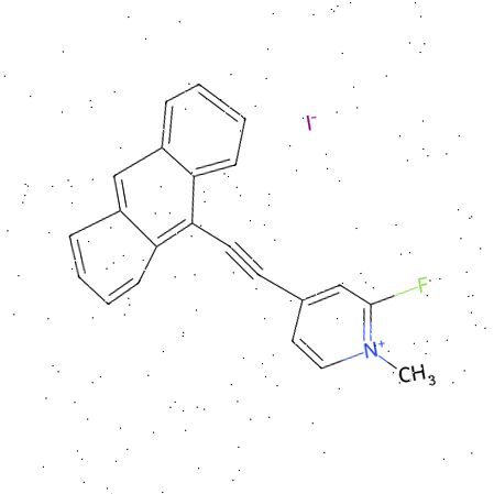 C[n+]1ccc(C#Cc2c3ccccc3cc3ccccc23)cc1F.[I-]